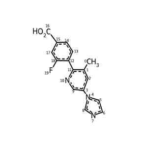 Cc1cc(-n2ccnc2)cnc1-c1ccc(C(=O)O)cc1F